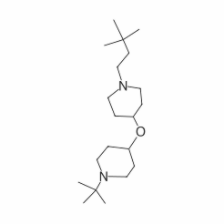 CC(C)(C)CCN1CCC(OC2CCN(C(C)(C)C)CC2)CC1